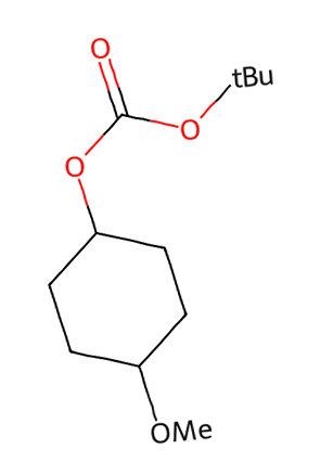 COC1CCC(OC(=O)OC(C)(C)C)CC1